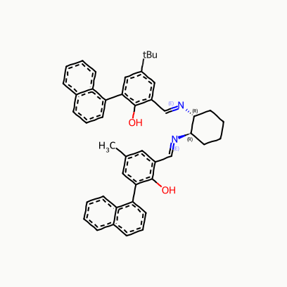 Cc1cc(/C=N/[C@@H]2CCCC[C@H]2/N=C/c2cc(C(C)(C)C)cc(-c3cccc4ccccc34)c2O)c(O)c(-c2cccc3ccccc23)c1